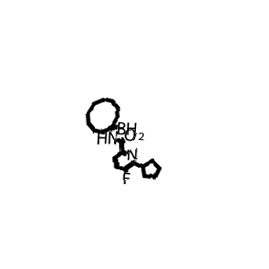 BC1(NC(=O)c2ccc(F)c(C3CCCC3)n2)CCCCCCCCC1